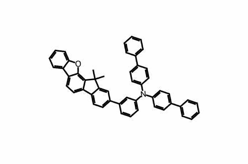 CC1(C)c2cc(-c3cccc(N(c4ccc(-c5ccccc5)cc4)c4ccc(-c5ccccc5)cc4)c3)ccc2-c2ccc3c(oc4ccccc43)c21